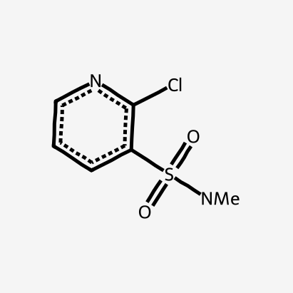 CNS(=O)(=O)c1cccnc1Cl